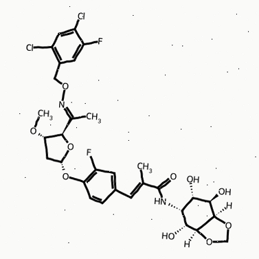 CO[C@H]1C[C@@H](Oc2ccc(C=C(C)C(=O)N[C@@H]3[C@H](O)[C@@H](O)[C@H]4OCO[C@H]4[C@@H]3O)cc2F)O[C@@H]1C(C)=NOCc1cc(F)c(Cl)cc1Cl